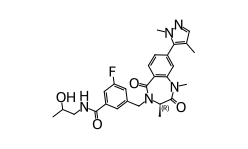 Cc1cnn(C)c1-c1ccc2c(c1)N(C)C(=O)[C@@H](C)N(Cc1cc(F)cc(C(=O)NCC(C)O)c1)C2=O